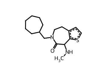 CNC1C(=O)N(CC2CCCCCC2)CCc2ccsc21